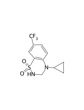 O=S1(=O)NCN(C2CC2)c2ccc(C(F)(F)F)cc21